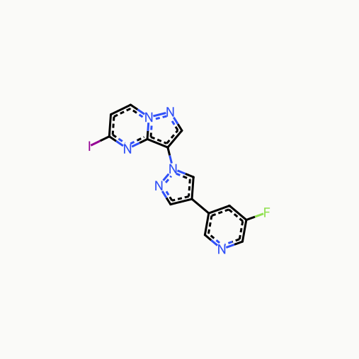 Fc1cncc(-c2cnn(-c3cnn4ccc(I)nc34)c2)c1